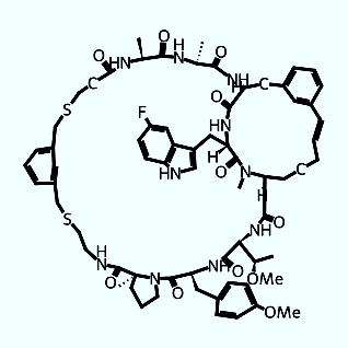 COc1ccc(C[C@@H]2NC(=O)[C@H]([C@@H](C)OC)NC(=O)[C@@H]3CCC/C=C/c4cccc(c4)C[C@H](NC(=O)[C@@H](C)NC(=O)[C@H](C)NC(=O)CCSCc4cccc(c4)CSCCNC(=O)[C@]4(C)CCCN4C2=O)C(=O)N[C@@H](Cc2c[nH]c4ccc(F)cc24)C(=O)N3C)cc1